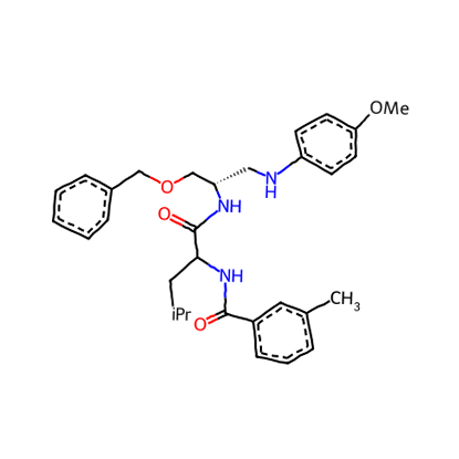 COc1ccc(NC[C@@H](COCc2ccccc2)NC(=O)C(CC(C)C)NC(=O)c2cccc(C)c2)cc1